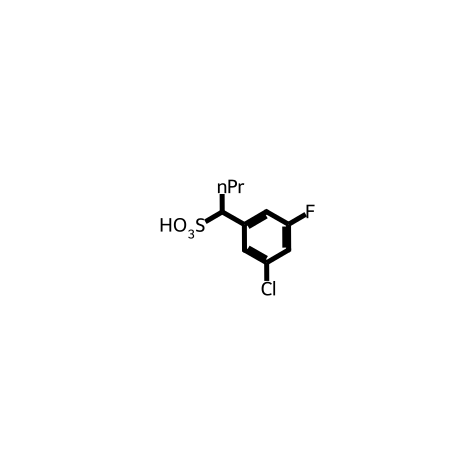 CCCC(c1cc(F)cc(Cl)c1)S(=O)(=O)O